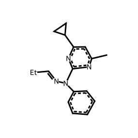 CCC=NN(c1ccccc1)c1nc(C)cc(C2CC2)n1